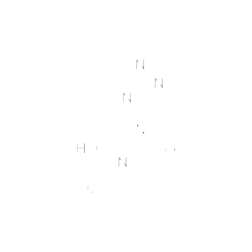 O=C(C1CCC(=O)N1C(=O)O)N1CCn2cnnc2C1